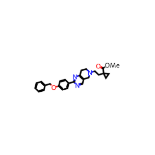 COC(=O)C1(CCN2CCc3nc(-c4ccc(OCc5ccccc5)cc4)ncc3C2)CC1